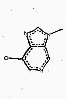 Cn1cnc2c(Cl)cncc21